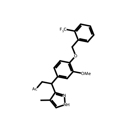 COc1cc(C(CC(C)=O)c2n[nH]cc2C)ccc1OCc1ccccc1C(F)(F)F